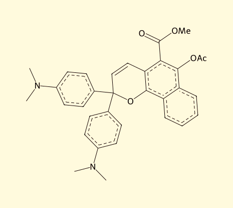 COC(=O)c1c2c(c3ccccc3c1OC(C)=O)OC(c1ccc(N(C)C)cc1)(c1ccc(N(C)C)cc1)C=C2